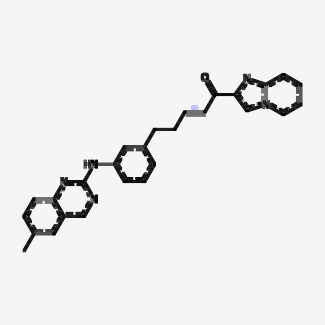 Cc1ccc2nc(Nc3cccc(CC/C=C/C(=O)c4cn5ccccc5n4)c3)ncc2c1